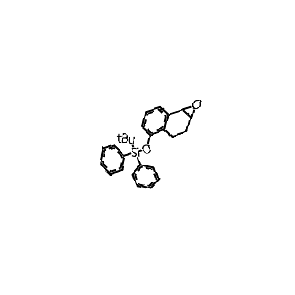 CC(C)(C)[Si](Oc1cccc2c1CCC1OC21)(c1ccccc1)c1ccccc1